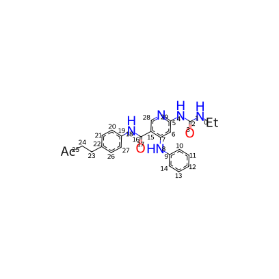 CCNC(=O)Nc1cc(Nc2ccccc2)c(C(=O)Nc2ccc(CCC(C)=O)cc2)cn1